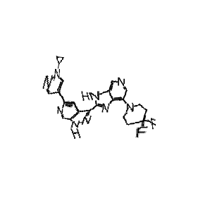 FC1(F)CCN(c2cncc3[nH]c(-c4n[nH]c5cnc(-c6cnn(C7CC7)c6)cc45)nc23)CC1